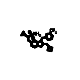 NS(=O)(=O)C(Cc1ccc2c(c1)C(Cc1cccc(C(F)(F)F)c1)C(CN1CCC1)C2)C1CC1